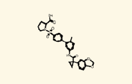 Cc1ccc(NC(=O)C2(c3ccc4c(c3)OCO4)CC2)cc1-c1ccc(S(=O)(=O)N2CCCC2C(=O)O)cc1